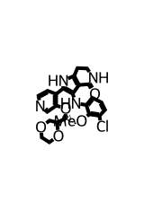 COc1c(Cl)cccc1Nc1c(-c2ccncc2O[C@H](C)C2COCCO2)[nH]c2c1C(=O)NCC2